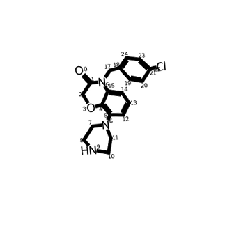 O=C1COc2c(N3CCNCC3)cccc2N1Cc1ccc(Cl)cc1